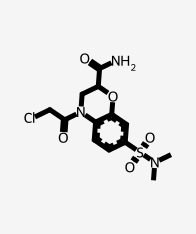 CN(C)S(=O)(=O)c1ccc2c(c1)OC(C(N)=O)CN2C(=O)CCl